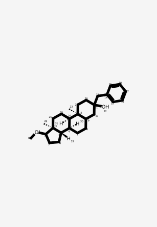 COC1CC[C@H]2[C@@H]3CCC4CC(O)(Cc5ccccc5)CC[C@]4(C)[C@@H]3CC[C@]12C